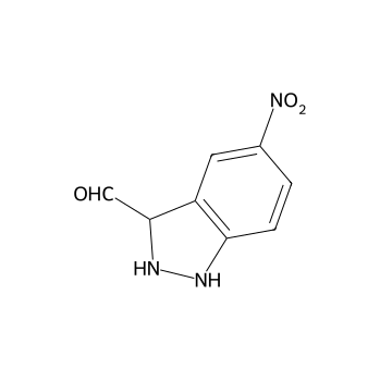 O=CC1NNc2ccc([N+](=O)[O-])cc21